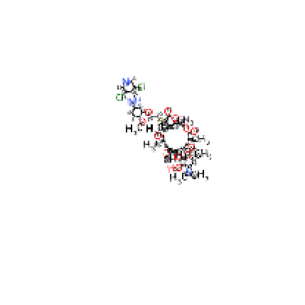 COc1ccc(NCc2c(Cl)cncc2Cl)cc1OCCS[C@@H]1C(=O)O[C@@]2(C)[C@H]1[C@@H](C)C(=O)[C@H](C)C[C@@](C)(OC)[C@H](O[C@@H]1O[C@H](C)C[C@H](N(C)C)[C@H]1O)[C@@H](C)C(=O)[C@@H](C)C(=O)O[C@@H]2I